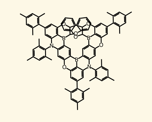 Cc1cc(C)c(-c2cc3c4c(c2)OC2c5ccccc5OC2B4c2cc4c(cc2O3)N(c2c(C)cc(C)cc2C)c2cc(-c3c(C)cc(C)cc3C)cc3c2B4c2cc4c(cc2O3)N(c2c(C)cc(C)cc2C)c2cc(-c3c(C)cc(C)cc3C)cc3c2B4C2Oc4ccccc4C2O3)c(C)c1